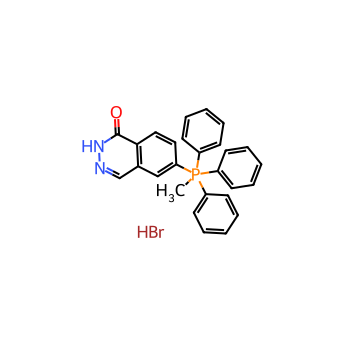 Br.CP(c1ccccc1)(c1ccccc1)(c1ccccc1)c1ccc2c(=O)[nH]ncc2c1